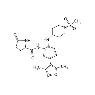 Cc1noc(C)c1-c1ccc(NC2CCN(S(C)(=O)=O)CC2)c(NC(=O)C2CCC(=O)N2)c1